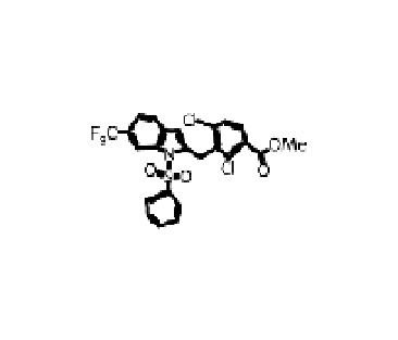 COC(=O)c1ccc(Cl)c(Cc2cc3ccc(C(F)(F)F)cc3n2S(=O)(=O)c2ccccc2)c1Cl